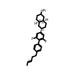 C/C=C/CCc1ccc(-c2c(F)cc([C@@H]3CC[C@@H]4CC(CCC)CC[C@@H]4C3)cc2F)cc1